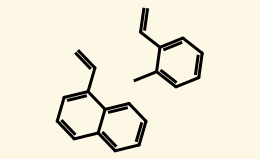 C=Cc1cccc2ccccc12.C=Cc1ccccc1C